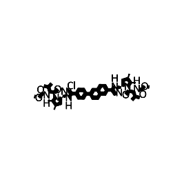 COC(=O)N[C@H](C(=O)N1[C@H](C)[C@H](C)C[C@H]1c1ncc(-c2ccc3cc(-c4ccc(-c5[nH]c([C@@H]6C[C@@H](C)[C@@H](C)N6C(=O)[C@@H](NC(=O)OC)C(C)C)nc5Cl)cc4)ccc3c2)[nH]1)C(C)C